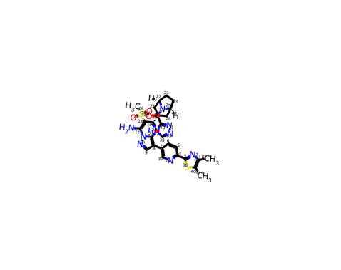 Cc1nc(-c2ccc(-c3cnn4c(N)c(S(C)(=O)=O)c([C@@H]5C[C@H]6CC[C@@H](C5)N6C(=O)c5nnc[nH]5)nc34)cn2)sc1C